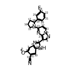 COc1cc2nc(-c3cnn4ccc(N5CCCC5c5cccc(F)c5)nc34)[nH]c2cc1C#N